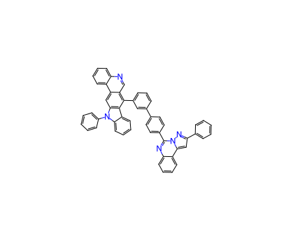 c1ccc(-c2cc3c4ccccc4nc(-c4ccc(-c5cccc(-c6c7cnc8ccccc8c7cc7c6c6ccccc6n7-c6ccccc6)c5)cc4)n3n2)cc1